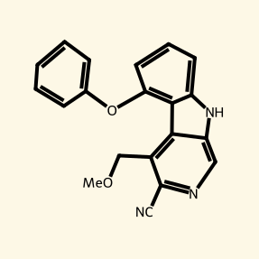 COCc1c(C#N)ncc2[nH]c3cccc(Oc4ccccc4)c3c12